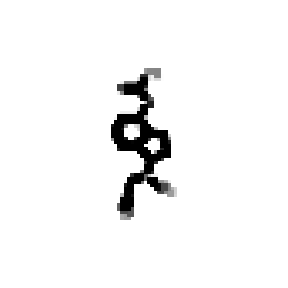 C#CCN(C)C1CCc2c(OC(C)=O)cccc21